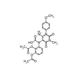 COc1ccc(-n2c(N)c(N(C(=O)O)c3cccc(OC(C)=O)c3OC(C)=O)c(=O)n(C)c2=O)cc1